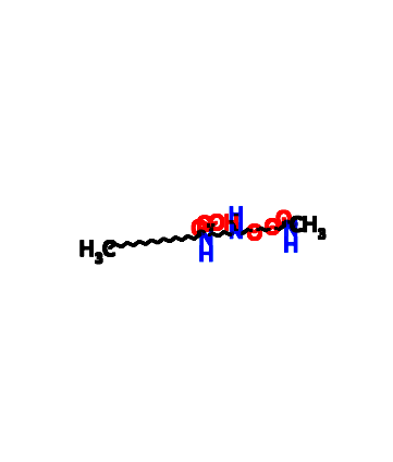 CCCCCCCCCCCCCCCC(=O)NC(CCCNCCOCCOCC(=O)NC)C(=O)O